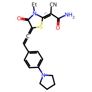 CCn1c(=O)c(=C=Cc2ccc(N3CCCC3)cc2)s/c1=C(/C#N)C(N)=O